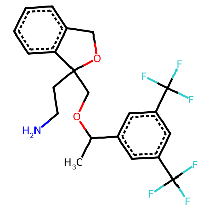 CC(OCC1(CCN)OCc2ccccc21)c1cc(C(F)(F)F)cc(C(F)(F)F)c1